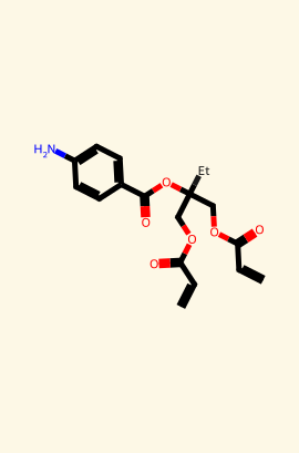 C=CC(=O)OCC(CC)(COC(=O)C=C)OC(=O)c1ccc(N)cc1